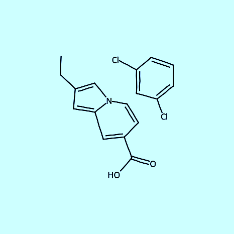 CCc1cc2cc(C(=O)O)ccn2c1.Clc1cccc(Cl)c1